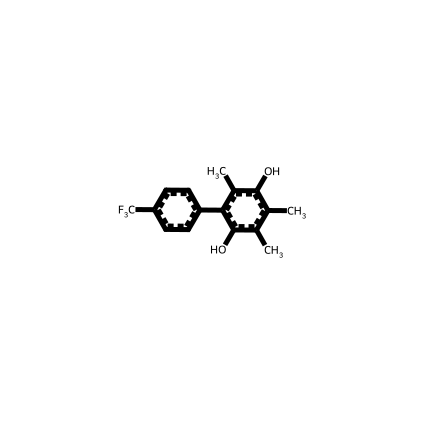 Cc1c(C)c(O)c(-c2ccc(C(F)(F)F)cc2)c(C)c1O